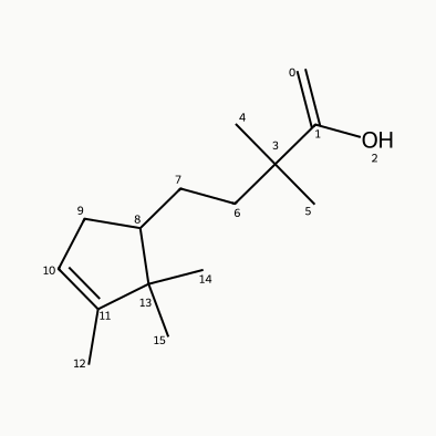 C=C(O)C(C)(C)CCC1CC=C(C)C1(C)C